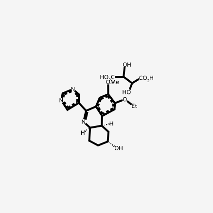 CCOc1cc2c(cc1OC)C(c1cncnc1)=N[C@@H]1CC[C@@H](O)C[C@H]21.O=C(O)C(O)C(O)C(=O)O